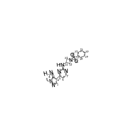 Cn1ncc(-c2ccnc(NC3CN(S(=O)(=O)c4ccccc4)C3)n2)c1N